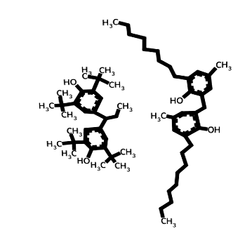 CCC(c1cc(C(C)(C)C)c(O)c(C(C)(C)C)c1)c1cc(C(C)(C)C)c(O)c(C(C)(C)C)c1.CCCCCCCCCc1cc(C)cc(Cc2cc(C)cc(CCCCCCCCC)c2O)c1O